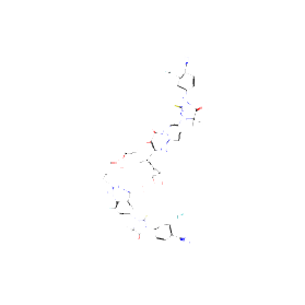 CCc1nc(OCC2(O)CC2C(C)c2nc3ccc(N4C(=S)N(c5ccc(C#N)c(C(F)(F)F)c5)C(=O)C4(C)C)cn3c(=O)c2OCCOC)c2cc(N3C(=S)N(c4ccc(C#N)c(C(F)(F)F)c4)C(=O)C3(C)C)cc(F)c2n1